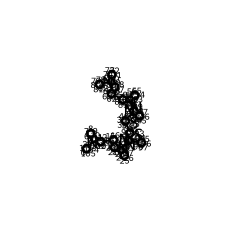 c1ccc(-n2c3ccccc3c3cc(-c4cccc5c4ccc4c6ccccc6n(-c6nc7c8c(cc(-c9cccc%10c9Sc9cccc%11nc(-n%12c%13ccccc%13c%13cc(-c%14cccc%15c%14ccc%14c%16ccccc%16n(-c%16ccccc%16)c%15%14)ccc%13%12)nc-%10c9%11)cc8n6)Sc6ccccc6-7)c54)ccc32)cc1